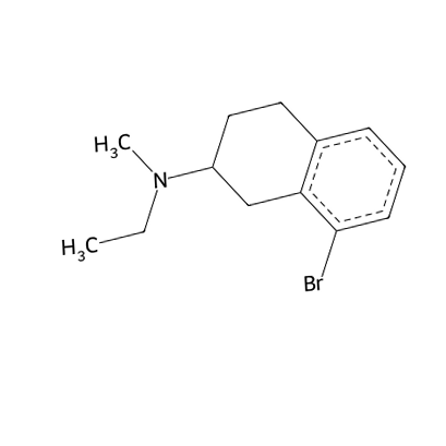 CCN(C)C1CCc2cccc(Br)c2C1